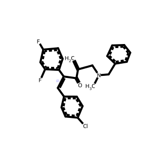 C=C(CN(C)Cc1ccccc1)C(=O)/C(=C\c1ccc(Cl)cc1)c1ccc(F)cc1F